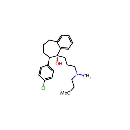 COCCN(C)CCC[C@@]1(O)c2ccccc2CCC[C@@H]1c1ccc(Cl)cc1